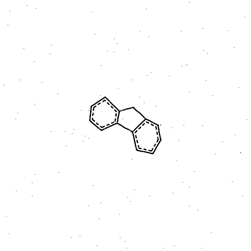 [c]1cccc2c1Cc1ccccc1-2